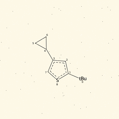 CC(C)(C)c1cc(C2CC2)cs1